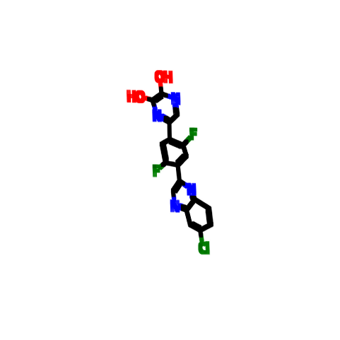 Oc1ncc(-c2cc(F)c(-c3cnc4cc(Cl)ccc4n3)cc2F)nc1O